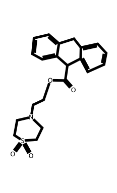 O=C(OCCN1CCS(=O)(=O)CC1)C1c2ccccc2Cc2ccccc21